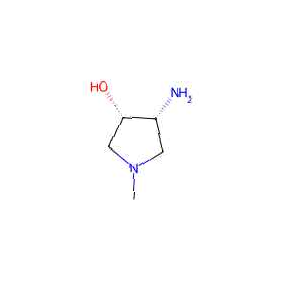 CN1C[C@@H](N)[C@@H](O)C1